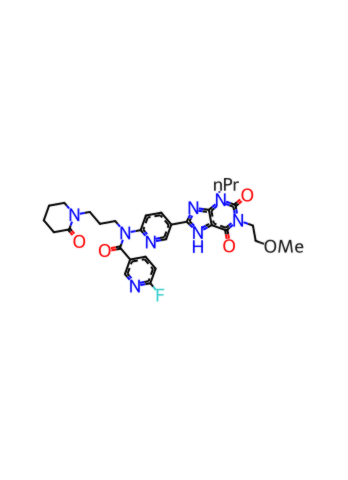 CCCn1c(=O)n(CCOC)c(=O)c2[nH]c(-c3ccc(N(CCCN4CCCCC4=O)C(=O)c4ccc(F)nc4)nc3)nc21